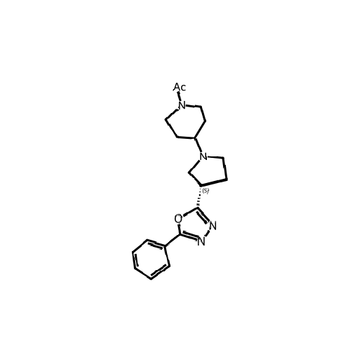 CC(=O)N1CCC(N2CC[C@H](c3nnc(-c4ccccc4)o3)C2)CC1